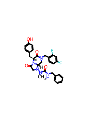 CN(C(=O)NCc1ccccc1)N1CC(=O)N2[C@@H](Cc3ccc(O)cc3)C(=O)N(Cc3ccc(F)cc3F)C[C@@H]21